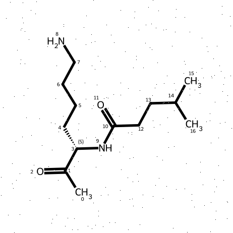 CC(=O)[C@H](CCCCN)NC(=O)CCC(C)C